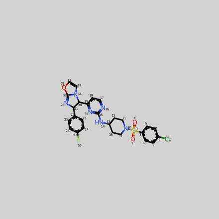 O=S(=O)(c1ccc(Cl)cc1)N1CCC(Nc2nccc(C3C(c4ccc(F)cc4)N=C4OC=CN43)n2)CC1